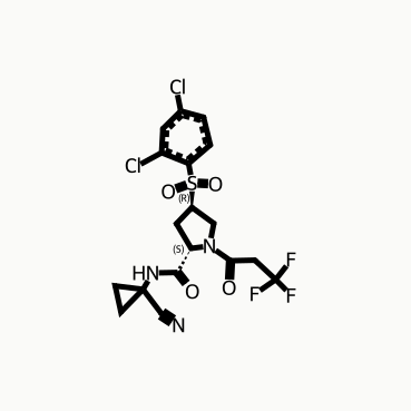 N#CC1(NC(=O)[C@@H]2C[C@@H](S(=O)(=O)c3ccc(Cl)cc3Cl)CN2C(=O)CC(F)(F)F)CC1